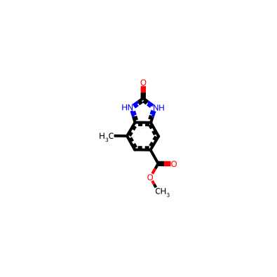 COC(=O)c1cc(C)c2[nH]c(=O)[nH]c2c1